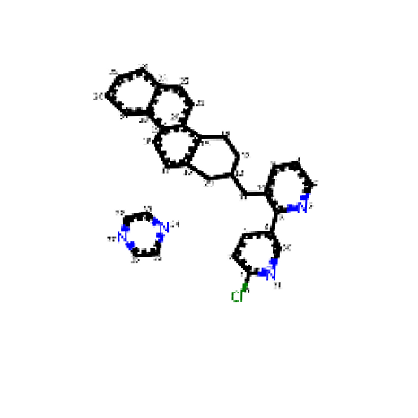 Clc1ccc(-c2ncccc2CC2CCc3c(ccc4c3ccc3ccccc34)C2)cn1.c1cnccn1